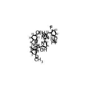 COc1ccc(CN(Cc2ccc(OC)cc2)S(=O)(=O)CC(C)(O)c2cccc(-c3nnn(Cc4cc(OC(F)(F)F)ccc4F)n3)n2)cc1